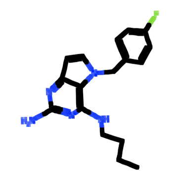 CCCCNc1nc(N)nc2ccn(Cc3ccc(F)cc3)c12